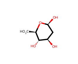 O=C(O)[C@H]1O[C@@H](O)C[C@@H](O)[C@@H]1O